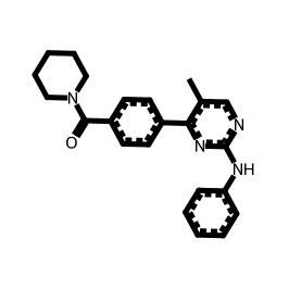 Cc1cnc(Nc2ccccc2)nc1-c1ccc(C(=O)N2CCCCC2)cc1